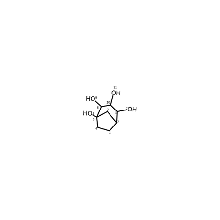 OC1C2CCC(O)(C2)C(O)C1O